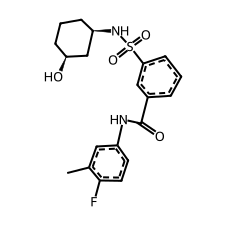 Cc1cc(NC(=O)c2cccc(S(=O)(=O)N[C@@H]3CCC[C@H](O)C3)c2)ccc1F